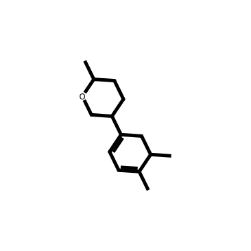 CC1=CC=C(C2CCC(C)OC2)CC1C